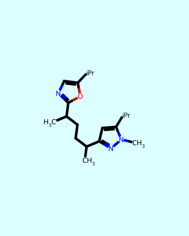 CC(C)c1cnc(C(C)CCC(C)c2cc(C(C)C)n(C)n2)o1